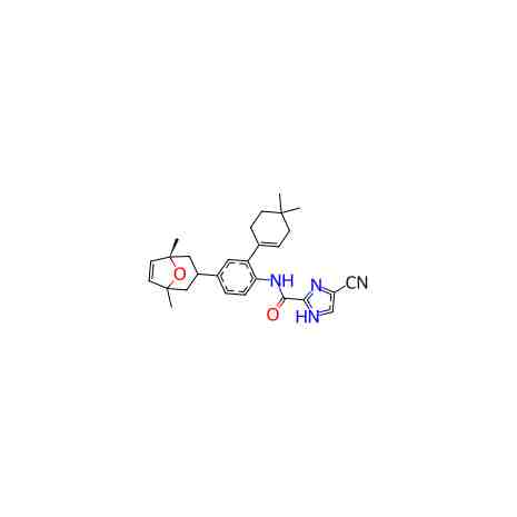 CC1(C)CC=C(c2cc(C3CC4(C)C=C[C@](C)(C3)O4)ccc2NC(=O)c2nc(C#N)c[nH]2)CC1